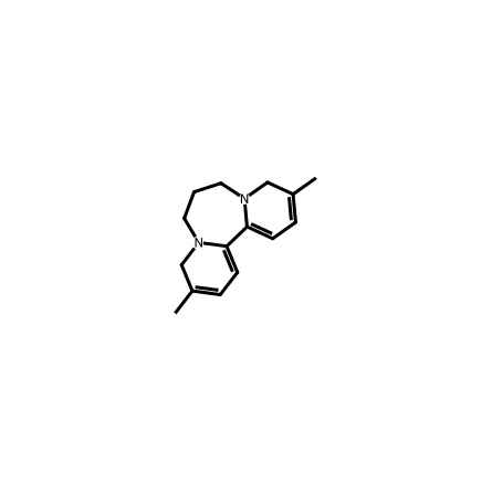 CC1=CC=C2C3=CC=C(C)CN3CCCN2C1